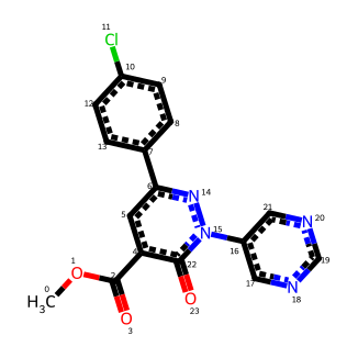 COC(=O)c1cc(-c2ccc(Cl)cc2)nn(-c2cncnc2)c1=O